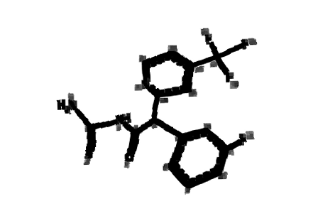 NC(=S)NC(=O)C(c1cccc(F)c1)c1cc(C(F)(F)F)ccn1